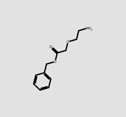 NCCOCC(=O)OCc1ccccc1